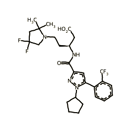 CC1(C)CC(F)(F)CN1CC[C@@H](CC(=O)O)NC(=O)c1cc(-c2ccccc2C(F)(F)F)n(C2CCCC2)n1